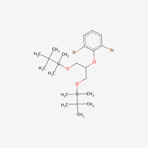 CC(C)(C)[Si](C)(C)OCC(CO[Si](C)(C)C(C)(C)C)Oc1c(Br)cccc1Br